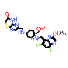 COc1cnc2c(F)cc(F)c(CN[C@]3(CO)CC[C@H](NCc4cnc5c(n4)NC(=O)CS5)CC3)c2n1